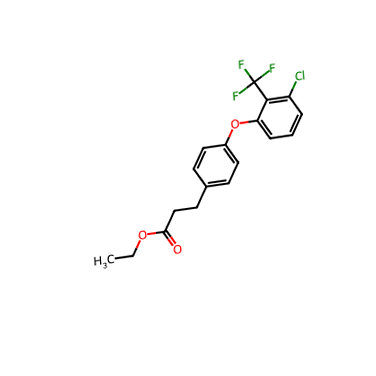 CCOC(=O)CCc1ccc(Oc2cccc(Cl)c2C(F)(F)F)cc1